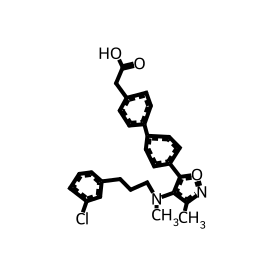 Cc1noc(-c2ccc(-c3ccc(CC(=O)O)cc3)cc2)c1N(C)CCCc1cccc(Cl)c1